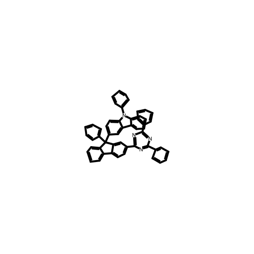 c1ccc(-c2nc(-c3ccccc3)nc(-c3ccc4c(c3)C(c3ccccc3)(c3ccc5c(c3)c3ccccc3n5-c3ccccc3)c3ccccc3-4)n2)cc1